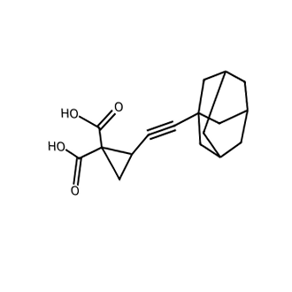 O=C(O)C1(C(=O)O)CC1C#CC12CC3CC(CC(C3)C1)C2